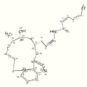 CC/C=C\C=C/C(=O)N/C=C\C[C@H]1C[C@@H](O)[C@@H](C)C/C=C/Cc2cccc(O)c2C(=O)O1